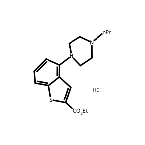 CCCN1CCN(c2cccc3sc(C(=O)OCC)cc23)CC1.Cl